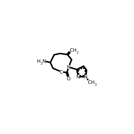 C=C1CCC(N)CCC(=O)N(c2ccn(C)n2)C1